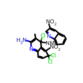 CNC1(Cl)C(C)=C(N)N=C2C=CC(Cl)(Cl)C([N+](=O)[O-])=C21.O=[N+]([O-])c1cnc2ccccc2c1